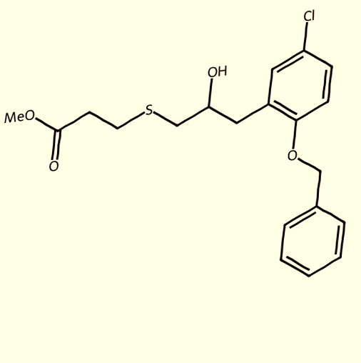 COC(=O)CCSCC(O)Cc1cc(Cl)ccc1OCc1ccccc1